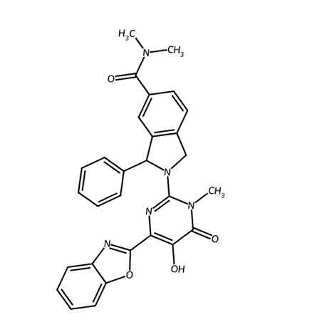 CN(C)C(=O)c1ccc2c(c1)C(c1ccccc1)N(c1nc(-c3nc4ccccc4o3)c(O)c(=O)n1C)C2